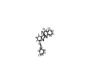 Cc1nc(-c2cccc(C#Cc3ccccc3)n2)nc2ccccc12